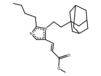 CCCCc1ncc(C=CC(=O)OC)n1CCC12CC3CC(CC(C3)C1)C2